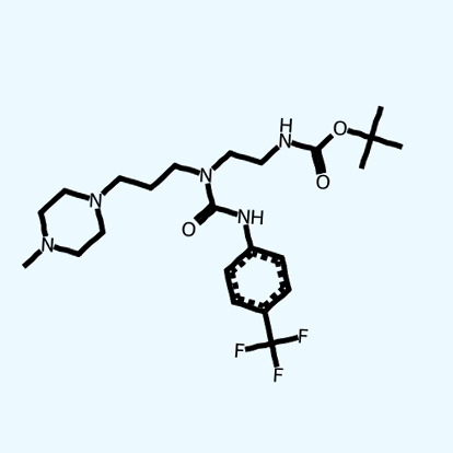 CN1CCN(CCCN(CCNC(=O)OC(C)(C)C)C(=O)Nc2ccc(C(F)(F)F)cc2)CC1